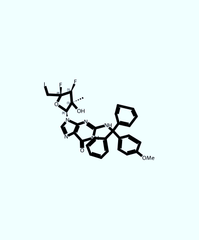 COc1ccc(C(Nc2nc3c(ncn3[C@@H]3O[C@](F)(CI)[C@@H](F)[C@@]3(C)O)c(=O)[nH]2)(c2ccccc2)c2ccccc2)cc1